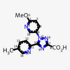 COc1ccc(-n2nc(C(=O)O)nc2-c2ccc(C)cn2)cn1